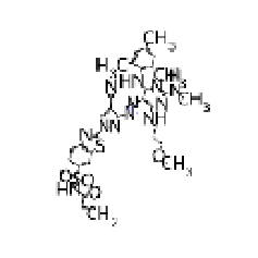 C=CC(=O)NS(=O)(=O)c1ccc2nc(-n3cc(C#N)c(/N=N/c4c(NCCCOC)nc(NC)nc4Nc4c(C)cc(C)cc4C)n3)sc2c1